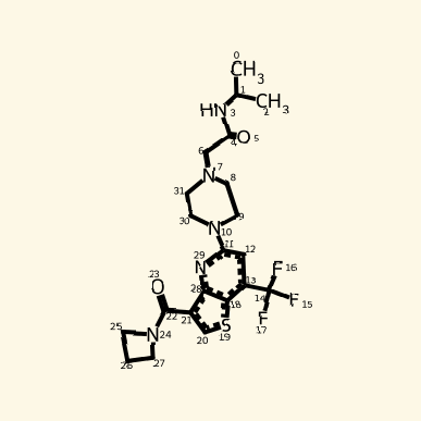 CC(C)NC(=O)CN1CCN(c2cc(C(F)(F)F)c3scc(C(=O)N4CCC4)c3n2)CC1